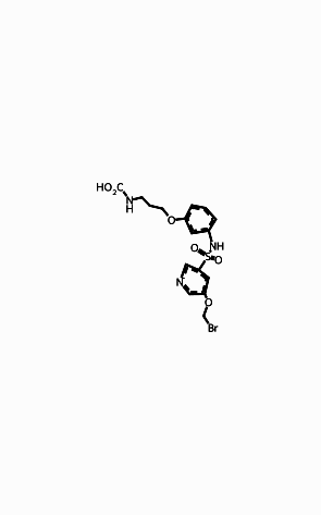 O=C(O)NCCCOc1cccc(NS(=O)(=O)c2cncc(OCBr)c2)c1